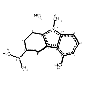 CN(C)C1CCc2c(c3c(O)cccc3n2C)C1.Cl